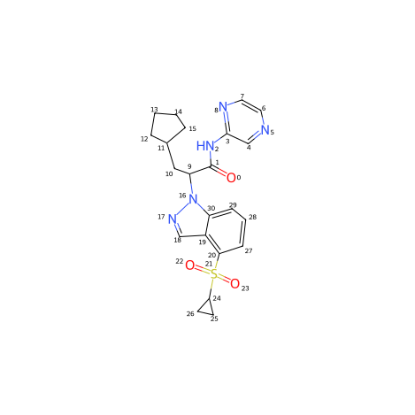 O=C(Nc1cnccn1)C(CC1CCCC1)n1ncc2c(S(=O)(=O)C3CC3)cccc21